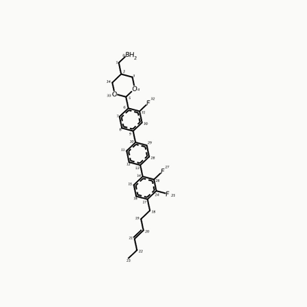 BCC1COC(c2ccc(-c3ccc(-c4ccc(CC/C=C/CC)c(F)c4F)cc3)cc2F)OC1